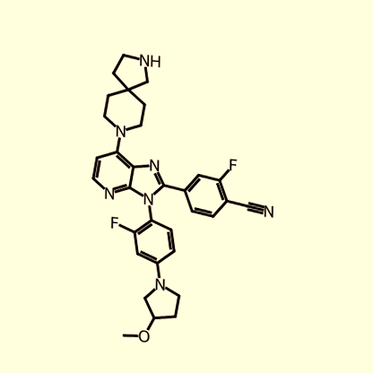 COC1CCN(c2ccc(-n3c(-c4ccc(C#N)c(F)c4)nc4c(N5CCC6(CCNC6)CC5)ccnc43)c(F)c2)C1